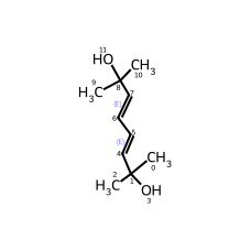 CC(C)(O)/C=C/C=C/C(C)(C)O